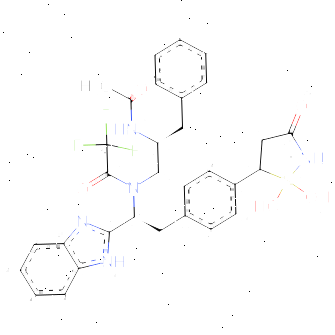 CC(=O)N[C@@H](Cc1ccccc1)CN(C(=O)C(F)(F)F)[C@@H](Cc1ccc(C2CC(=O)NS2(O)O)cc1)c1nc2ccccc2[nH]1